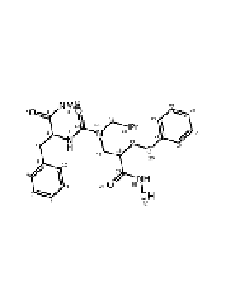 CNC(=O)C(Cc1ccccc1)NC(=O)N(CC(C)C)CC(CSc1ccccc1)C(=O)NO